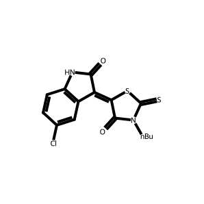 CCCCN1C(=O)/C(=C2/C(=O)Nc3ccc(Cl)cc32)SC1=S